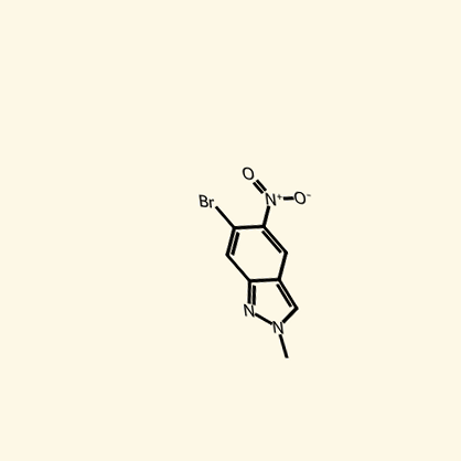 Cn1cc2cc([N+](=O)[O-])c(Br)cc2n1